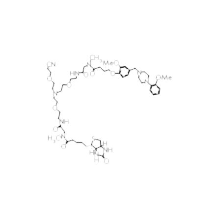 COc1cc(CN2CCN(c3ccccc3OC)CC2)ccc1OCCCC(=O)N(C)CC(=O)NCCOCCN(CCOCCC#N)CCOCCNC(=O)CN(C)C(=O)CCCC[C@@H]1SC[C@@H]2NC(=O)N[C@@H]21